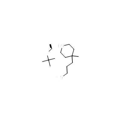 CC(C)(C)OC=O.CC1(CCCN)CCNCC1